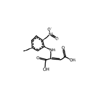 Cc1ccc([N+](=O)[O-])c(N/C(=C\C(=O)O)C(=O)O)c1